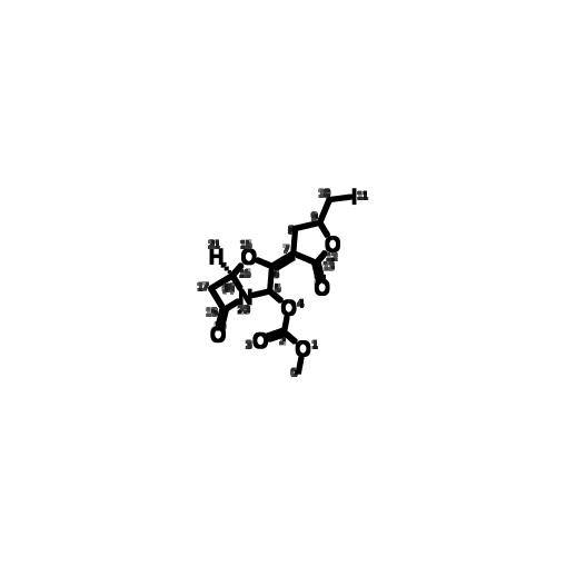 COC(=O)OC1C(=C2CC(CI)OC2=O)O[C@@H]2CC(=O)N12